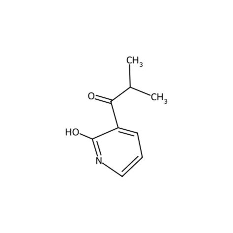 CC(C)C(=O)c1cccnc1O